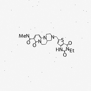 CCn1c(=O)[nH]c2cc(CN3CCN4c5ccc(C(=O)NC)c(=O)n5CCC4C3)sc2c1=O